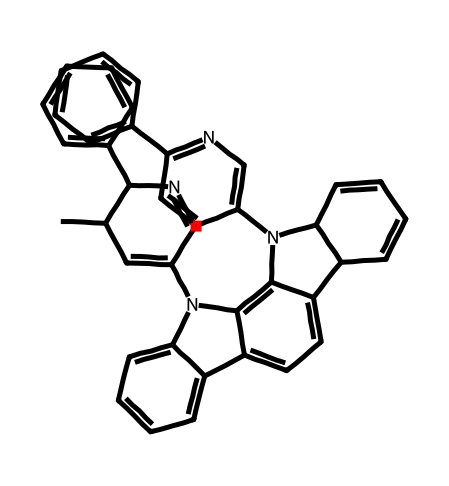 CC1C=C(n2c3ccccc3c3ccc4c(c32)N(c2ccc(-c3ccccc3)nc2)C2C=CC=CC42)C=NC1c1ccccc1